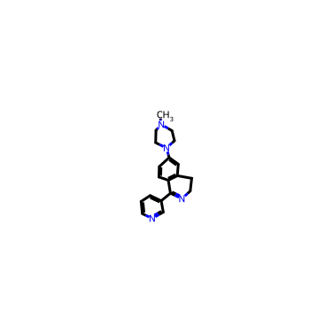 CN1CCN(c2ccc3c(c2)CCN=C3c2cccnc2)CC1